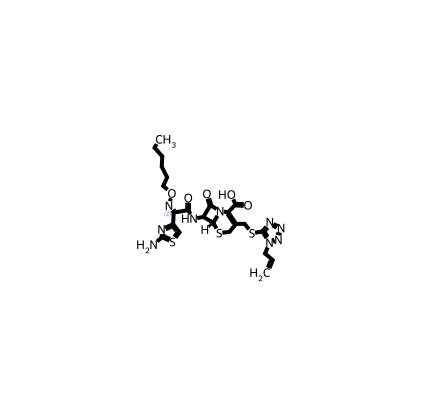 C=CCn1nnnc1SCC1=C(C(=O)O)N2C(=O)C(NC(=O)/C(=N\OCCCCCC)c3csc(N)n3)[C@H]2SC1